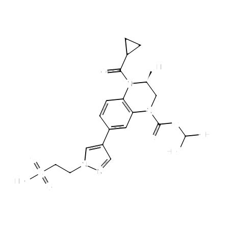 CC(C)OC(=O)N1C[C@H](C)N(C(=O)C2CC2)c2ccc(-c3cnn(CCS(C)(=O)=O)c3)cc21